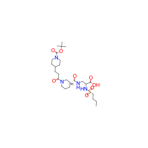 CCCCS(=O)(=O)NC(CNC(=O)[C@@H]1CCCN(C(=O)CCC2CCN(C(=O)OC(C)(C)C)CC2)C1)C(=O)O